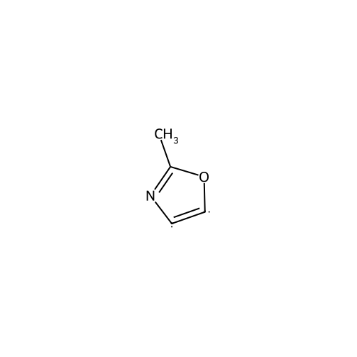 Cc1n[c][c]o1